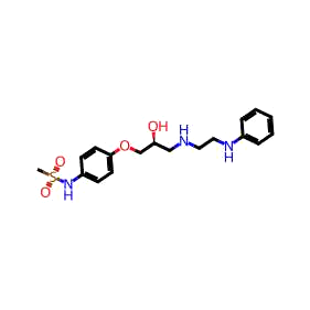 CS(=O)(=O)Nc1ccc(OC[C@@H](O)CNCCNc2ccccc2)cc1